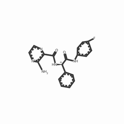 Nc1nccnc1C(=O)N[C@@H](C(=O)Nc1ccc(F)cc1)c1ccccc1